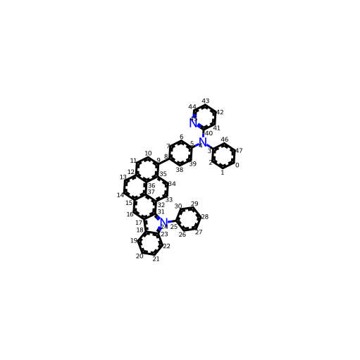 c1ccc(N(c2ccc(-c3ccc4ccc5cc6c7ccccc7n(-c7ccccc7)c6c6ccc3c4c56)cc2)c2ccccn2)cc1